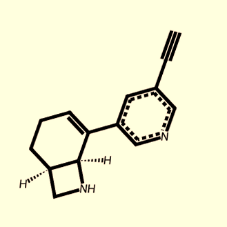 C#Cc1cncc(C2=CCC[C@@H]3CN[C@H]23)c1